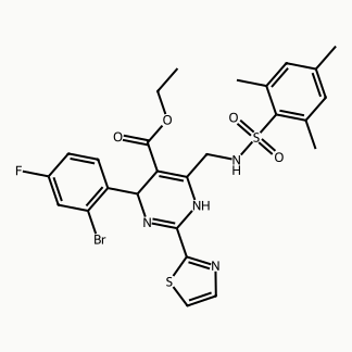 CCOC(=O)C1=C(CNS(=O)(=O)c2c(C)cc(C)cc2C)NC(c2nccs2)=NC1c1ccc(F)cc1Br